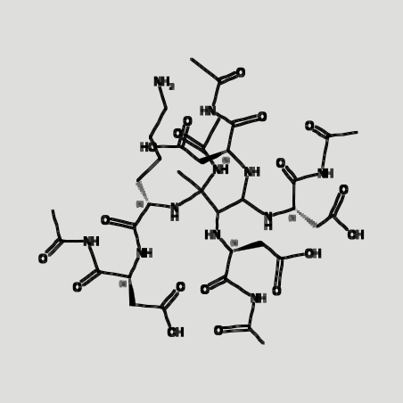 CC(=O)NC(=O)[C@H](CC(=O)O)NC(=O)[C@H](CCCCN)NC(C)(NC(C)=O)C(N[C@@H](CC(=O)O)C(=O)NC(C)=O)C(N[C@@H](CC(=O)O)C(=O)NC(C)=O)N[C@@H](CC(=O)O)C(=O)NC(C)=O